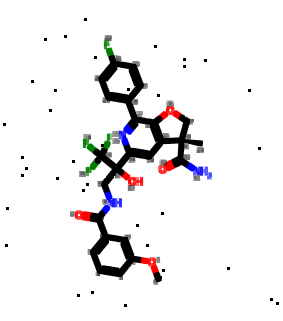 COc1cccc(C(=O)NCC(O)(c2cc3c(c(-c4ccc(F)cc4)n2)OC[C@]3(C)C(N)=O)C(F)(F)F)c1